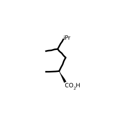 CC(C)C(C)C[C@H](C)C(=O)O